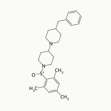 Cc1cc(C)c([S+]([O-])N2CCC(N3CCC(Cc4ccccc4)CC3)CC2)c(C)c1